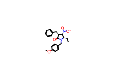 CC[C@@H]1[C@@H]([N+](=O)[O-])[C@H](Cc2ccccc2)C(=O)N1Cc1ccc(OC)cc1